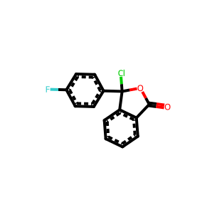 O=C1OC(Cl)(c2ccc(F)cc2)c2ccccc21